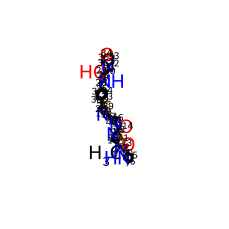 CN(C(=O)[C@@H]1CCCN1)c1cnc(C(=O)N2CC(c3ncc(-c4ccc(CNC(O)CN5CCOCC5)cc4)s3)C2)s1